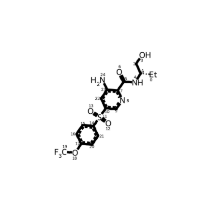 CC[C@@H](CO)NC(=O)c1ncc(S(=O)(=O)c2ccc(OC(F)(F)F)cc2)cc1N